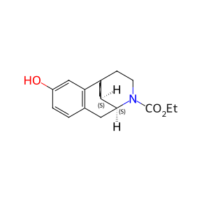 CCOC(=O)N1CCC23CCCC[C@@H]2[C@@H]1Cc1ccc(O)cc13